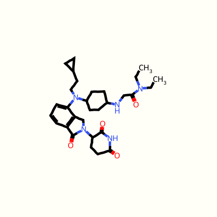 CCN(CC)C(=O)CNC1CCC(N(CCC2CC2)c2cccc3c2CN(C2CCC(=O)NC2=O)C3=O)CC1